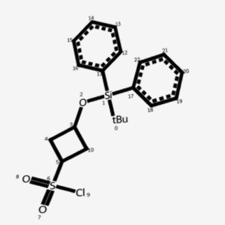 CC(C)(C)[Si](OC1CC(S(=O)(=O)Cl)C1)(c1ccccc1)c1ccccc1